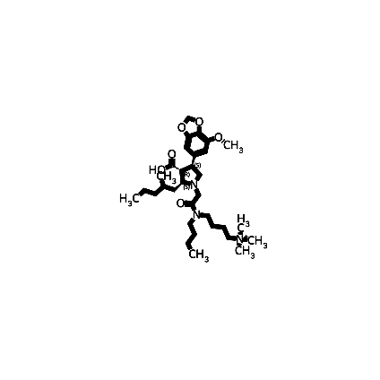 CCCCN(CCCC[N+](C)(C)C)C(=O)CN1C[C@H](c2cc(OC)c3c(c2)OCO3)[C@@H](C(=O)O)[C@@H]1CC(C)CCC